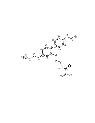 C=C(C)C(=O)OCCCc1cc(CCCO)ccc1-c1ccc(CCC)cc1